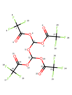 O=C(OC(OC(=O)C(F)(F)F)OC(OC(=O)C(F)(F)F)OC(=O)C(F)(F)F)C(F)(F)F